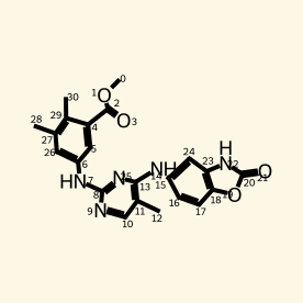 COC(=O)c1cc(Nc2ncc(C)c(Nc3ccc4oc(=O)[nH]c4c3)n2)cc(C)c1C